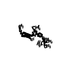 CCC(C)C(C)(C)COc1ccc(-c2cc(C)nc(-c3cc(CCOC)ccc3Cl)n2)cc1